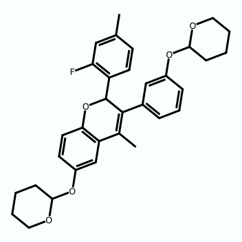 CC1=C(c2cccc(OC3CCCCO3)c2)C(c2ccc(C)cc2F)Oc2ccc(OC3CCCCO3)cc21